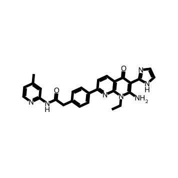 CCn1c(N)c(-c2ncc[nH]2)c(=O)c2ccc(-c3ccc(CC(=O)Nc4cc(C)ccn4)cc3)nc21